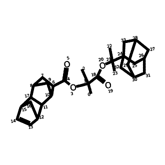 CC(C)(OC(=O)C1CC2CC1C1C3C=CC(C3)C21)C(=O)OC(C)(C)C12CC3CC(CC(C3)C1)C2